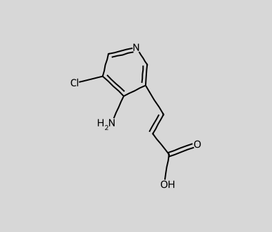 Nc1c(Cl)cncc1/C=C/C(=O)O